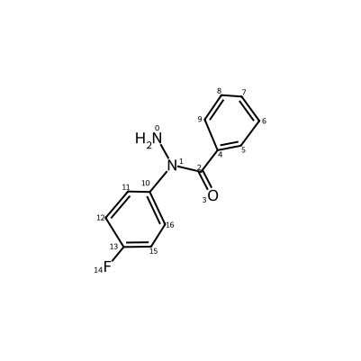 NN(C(=O)c1ccccc1)c1ccc(F)cc1